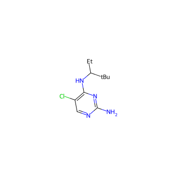 CCC(Nc1nc(N)ncc1Cl)C(C)(C)C